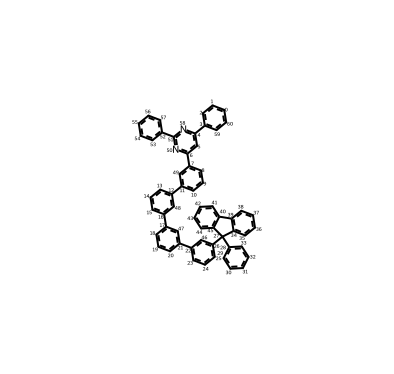 c1ccc(-c2cc(-c3cccc(-c4cccc(-c5cccc(-c6cccc(C7(c8ccccc8)c8ccccc8-c8ccccc87)c6)c5)c4)c3)nc(-c3ccccc3)n2)cc1